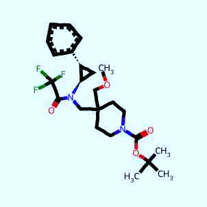 COCC1(CN(C(=O)C(F)(F)F)[C@@H]2C[C@H]2c2ccccc2)CCN(C(=O)OC(C)(C)C)CC1